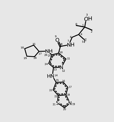 CC(C)(O)C(F)CNC(=O)c1cnc(Nc2ccc3ncsc3c2)cc1NC1CCCC1